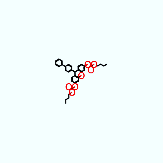 CCCCOC(=O)Oc1ccc2c(c1)Oc1cc(OC(=O)OCCCC)ccc1C2c1ccc(-c2ccccc2)cc1